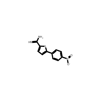 N=C(N)c1ccc(-c2ccc([N+](=O)[O-])cc2)s1